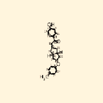 Cc1ccc(O[C@@H]2C[C@@H]3CN(CC(=O)c4ccc(O)cn4)C[C@@H]3C2)cc1